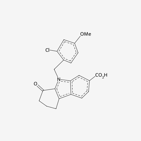 COc1ccc(Cn2c3c(c4ccc(C(=O)O)cc42)CCCC3=O)c(Cl)c1